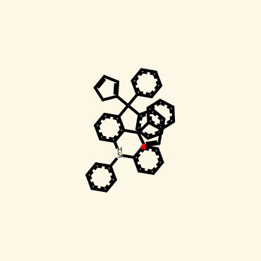 C1=CCC(C(c2ccccc2)(c2ccccc2)c2cccc([SiH](c3ccccc3)c3ccccc3)c2C2C=Cc3ccccc32)=C1